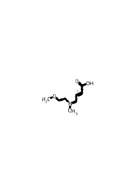 COCCN(C)C/C=C/C(=O)O